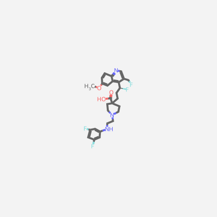 COc1ccc2ncc(CF)c([C@@H](F)CCC3(C(=O)O)CCN(CCNc4cc(F)cc(F)c4)CC3)c2c1